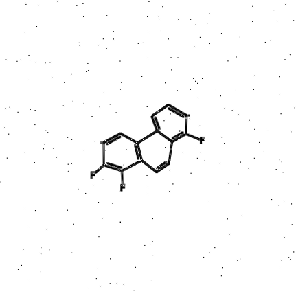 Fc1[c]cc2c(ccc3c(F)[c]ccc32)c1F